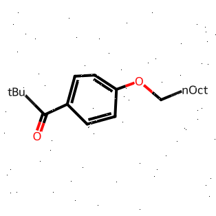 CCCCCCCCCOc1ccc(C(=O)C(C)(C)C)cc1